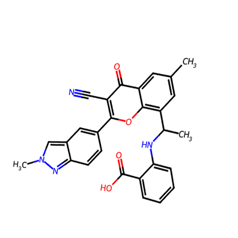 Cc1cc(C(C)Nc2ccccc2C(=O)O)c2oc(-c3ccc4nn(C)cc4c3)c(C#N)c(=O)c2c1